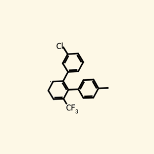 Cc1ccc(C2=C(c3cccc(Cl)c3)[CH]CC=C2C(F)(F)F)cc1